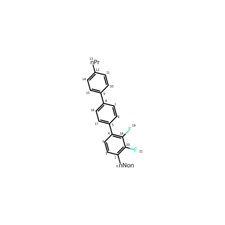 CCCCCCCCCc1ccc(-c2ccc(-c3ccc(CCC)cc3)cc2)c(F)c1F